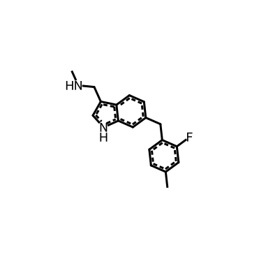 CNCc1c[nH]c2cc(Cc3ccc(C)cc3F)ccc12